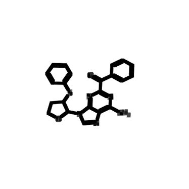 Nc1nc(C(=O)c2ccccc2)nc2c1ncn2C1OCCC1Sc1ccccc1